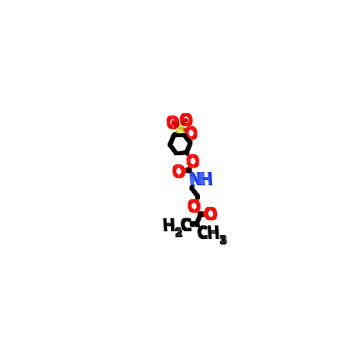 C=C(C)C(=O)OCCNC(=O)OC1CCC2CC1OS2(=O)=O